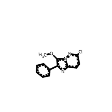 COc1c(-c2ccccc2)nc2ccc(Cl)nn12